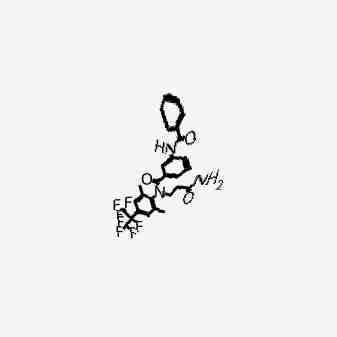 Cc1cc(C(F)(C(F)(F)F)C(F)(F)F)cc(C)c1N(CCC(N)=O)C(=O)c1cccc(NC(=O)c2ccccc2)c1